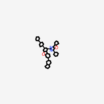 c1ccc(-c2ccc(-c3cc(-c4nc(-c5ccccc5)c5oc6ccccc6c5n4)c4c(c3)oc3cc(-c5ccc6ccccc6c5)ccc34)cc2)cc1